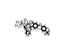 CS(C)(C)C#Cc1cncn1CC1(c2ccc(Oc3ccc(C(F)(F)F)cc3)cc2Cl)OCCO1